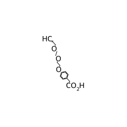 C#CCOCCOCCOc1ccc(CC(=O)O)cc1